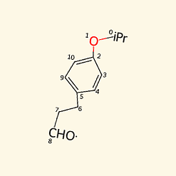 CC(C)Oc1ccc(CC[C]=O)cc1